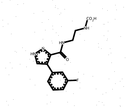 O=C(O)NCCNC(=O)c1n[nH]cc1-c1cccc(F)c1